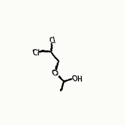 CC(O)OCC(Cl)Cl